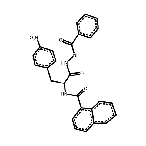 O=C(NNC(=O)[C@H](Cc1ccc([N+](=O)[O-])cc1)NC(=O)c1cccc2ccccc12)c1ccccc1